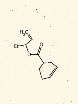 C=CC(CC)OC(=O)C1CC=CCC1